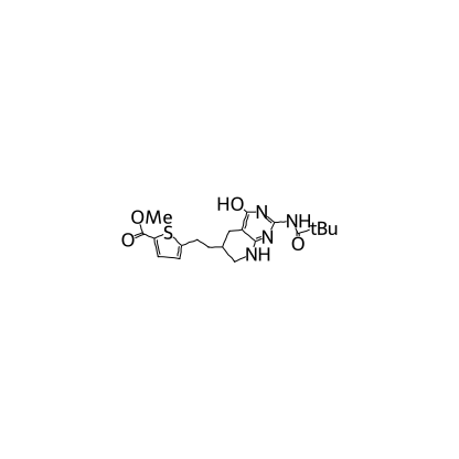 COC(=O)c1ccc(CCC2CNc3nc(NC(=O)C(C)(C)C)nc(O)c3C2)s1